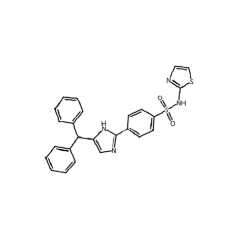 O=S(=O)(Nc1nccs1)c1ccc(-c2ncc(C(c3ccccc3)c3ccccc3)[nH]2)cc1